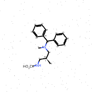 C[C@@H](CNC(=O)O)CN(C)C(c1ccccc1)c1ccccc1